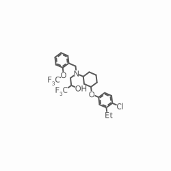 CCc1cc(OC2CCCC(N(Cc3ccccc3OC(F)(F)F)CC(O)C(F)(F)F)C2)ccc1Cl